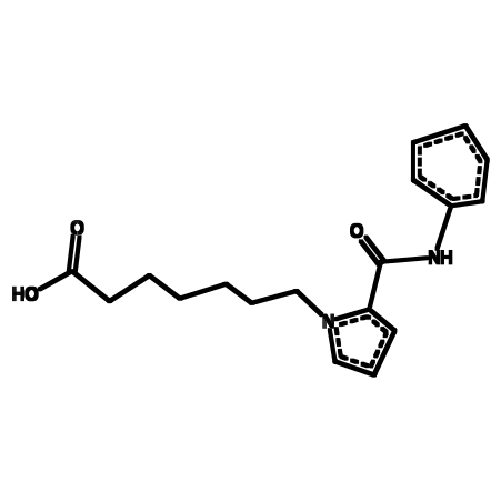 O=C(O)CCCCCCn1cccc1C(=O)Nc1ccccc1